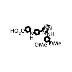 COc1ccc(Nc2nc(-c3ccc(Nc4cccc(C(=O)O)c4)cc3)cn3ccnc23)cc1OC